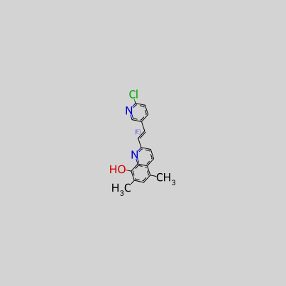 Cc1cc(C)c2ccc(/C=C/c3ccc(Cl)nc3)nc2c1O